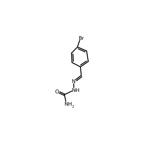 NC(=O)N/N=C/c1ccc(Br)cc1